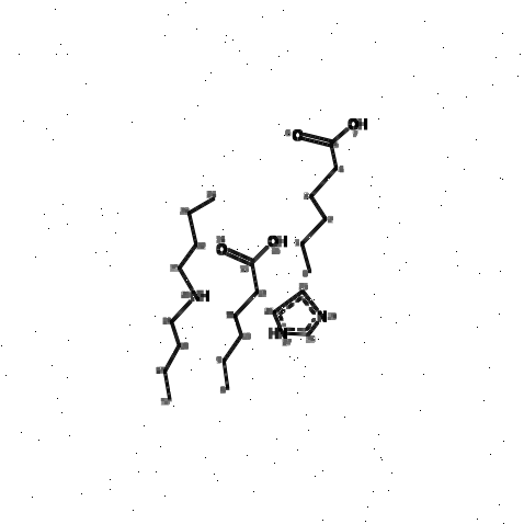 CCCCCC(=O)O.CCCCCC(=O)O.CCCCNCCCC.c1c[nH]cn1